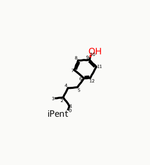 CCCC(C)CC(C)CCc1ccc(O)cc1